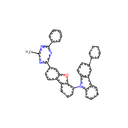 Cc1nc(-c2ccccc2)nc(-c2ccc3c(c2)oc2c(-n4c5ccccc5c5cc(-c6ccccc6)ccc54)cccc23)n1